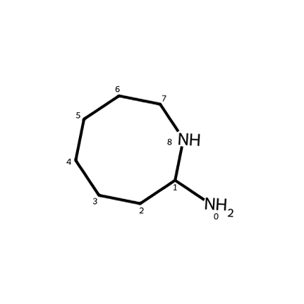 NC1CCCCCCN1